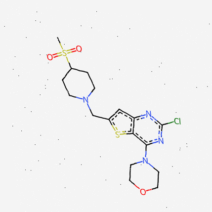 CS(=O)(=O)C1CCN(Cc2cc3nc(Cl)nc(N4CCOCC4)c3s2)CC1